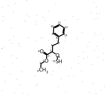 CCOC(=O)C(CCc1ccccc1)OS